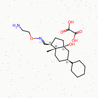 C[C@]12CC[C@H](C3CCCCC3)C[C@@]1(O)CC[C@@H]2/C=N/OCCN.O=C(O)C(=O)O